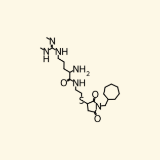 C/N=C(\NC)NCCCC(N)C(=O)NCCSC1CC(=O)N(CC2CCCCCC2)C1=O